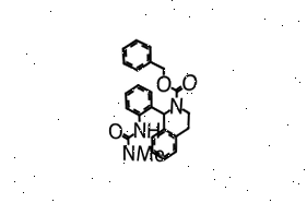 CNC(=O)Nc1ccccc1C1c2ccccc2CCN1C(=O)OCc1ccccc1